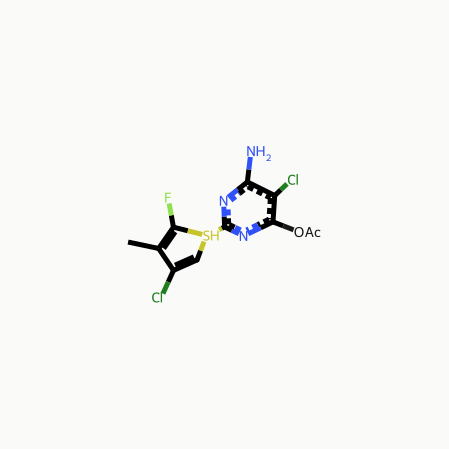 CC(=O)Oc1nc([SH]2C=C(Cl)C(C)=C2F)nc(N)c1Cl